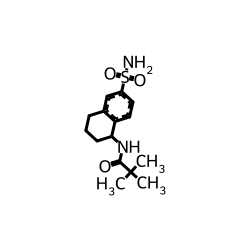 CC(C)(C)C(=O)NC1CCCc2cc(S(N)(=O)=O)ccc21